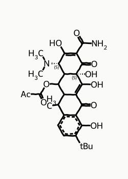 CC(=O)C(=O)OC1C2C(=C(O)[C@]3(O)C(=O)C(C(N)=O)=C(O)[C@@H](N(C)C)C13)C(=O)c1c(ccc(C(C)(C)C)c1O)C2C